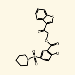 O=C(OCC(=O)c1csc2ccccc12)c1cc(S(=O)(=O)N2CCCCC2)ccc1Cl